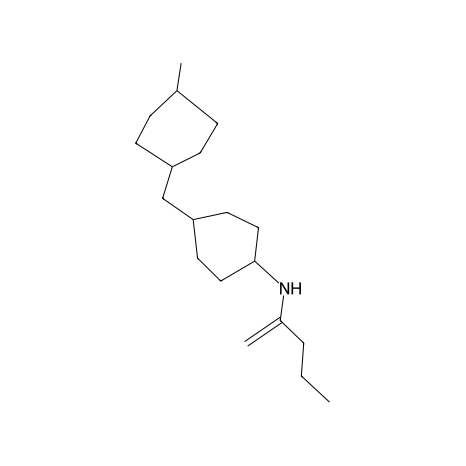 C=C(CCC)NC1CCC(CC2CCC(C)CC2)CC1